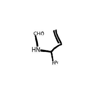 C=CC(CCC)NC=O